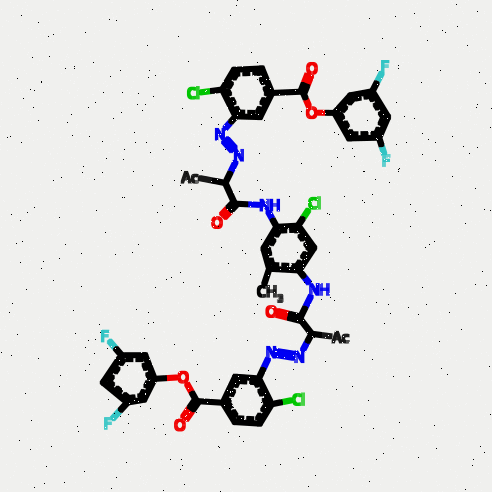 CC(=O)C(/N=N/c1cc(C(=O)Oc2cc(F)cc(F)c2)ccc1Cl)C(=O)Nc1cc(Cl)c(NC(=O)C(/N=N/c2cc(C(=O)Oc3cc(F)cc(F)c3)ccc2Cl)C(C)=O)cc1C